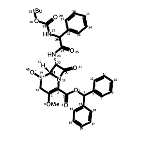 COC1=C(C(=O)OC(c2ccccc2)c2ccccc2)N2C(=O)[C@@H](NC(=O)C(NC(=O)OC(C)(C)C)c3ccccc3)[C@H]2[S+]([O-])C1